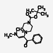 CN(C)C=C(C(=O)c1ccccc1)N1CCN(C(=O)OC(C)(C)C)CC1